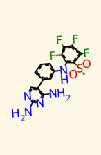 CS(=O)(=O)c1c(F)c(F)c(F)c(F)c1Nc1cccc(-c2cnc(N)nc2N)c1